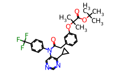 CC(C)(C)OC(=O)C(C)(C)Oc1cccc(CC(=O)N(c2ccc(C(F)(F)F)cc2)c2cncnc2C2CC2)c1